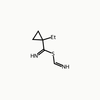 CCC1(C(=N)SC=N)CC1